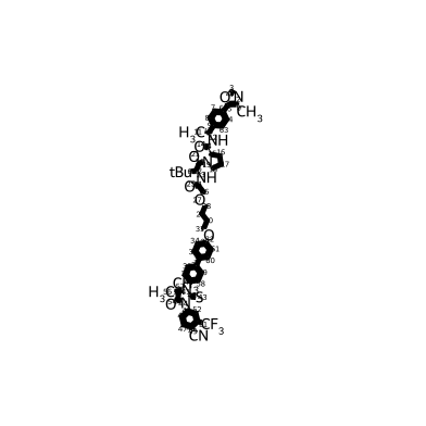 Cc1ncoc1-c1ccc([C@H](C)NC(=O)[C@@H]2CCCN2C(=O)C(NC(=O)COCCCCOc2ccc(-c3ccc(N4C(=S)N(c5ccc(C#N)c(C(F)(F)F)c5)C(=O)C4(C)C)cc3)cc2)C(C)(C)C)cc1